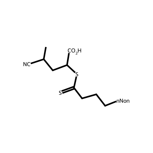 CCCCCCCCCCCCC(=S)SC(CC(C)C#N)C(=O)O